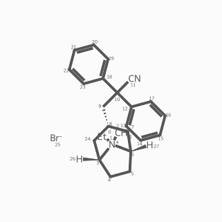 CC[N+]1(C)[C@@H]2CC[C@H]1C[C@@H](CC(C#N)(c1ccccc1)c1ccccc1)C2.[Br-]